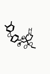 CCOC(=O)C1(CS(=O)(=O)c2ccc(Oc3ccc(C)c(C)c3)cc2)CCNCC1